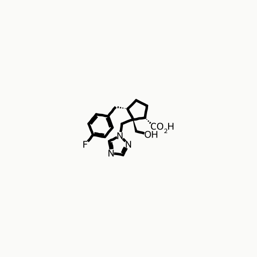 O=C(O)[C@H]1CC[C@@H](Cc2ccc(F)cc2)[C@@]1(CO)Cn1cncn1